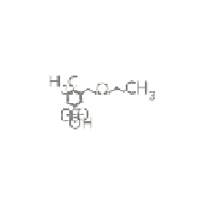 CCCCOCCc1cc(S(=O)(=O)O)ccc1C